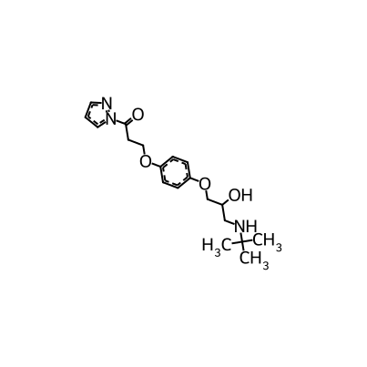 CC(C)(C)NCC(O)COc1ccc(OCCC(=O)n2cccn2)cc1